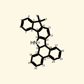 CC1(C)c2ccccc2-c2c1ccc1c2NC2c3ccccc3-c3ccccc3C12